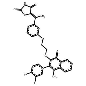 CC(=C1SC(=O)NC1=O)c1cccc(OCCOc2c(-c3ccc(F)c(F)c3)n(C)c3ccccc3c2=O)c1